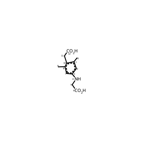 Cc1cc(NCC(=O)O)cc(C)c1CC(=O)O